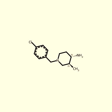 C[C@H]1CN(Cc2ccc(Cl)cc2)CC[C@@H]1N